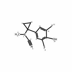 CB(C#N)C1(c2cc(F)c(O)c(F)c2)CC1